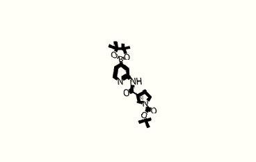 CC(C)(C)OC(=O)N1CC[C@H](C(=O)Nc2cc(B3OC(C)(C)C(C)(C)O3)ccn2)C1